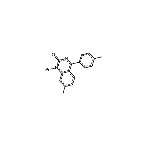 Cc1ccc(-c2nc(=O)n(C(C)C)c3cc(C)ccc23)cc1